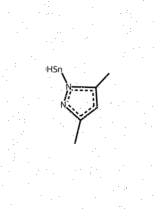 Cc1cc(C)[n]([SnH])n1